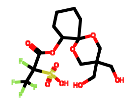 O=C(OC1CCCCC12OCC(CO)(CO)CO2)C(F)(C(F)(F)F)S(=O)(=O)O